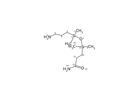 C[Si](C)(CCCN)O[Si](C)(C)CCC(N)=O